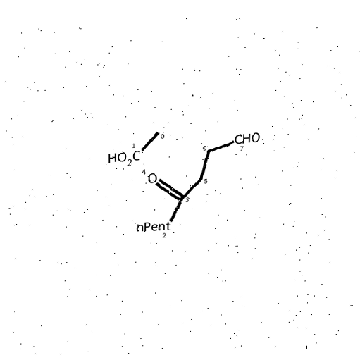 CC(=O)O.CCCCCC(=O)CCC=O